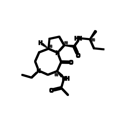 CC[C@H](C)NC(=O)[C@@H]1CC[C@@H]2CCN(CC)C[C@H](NC(C)=O)C(=O)N21